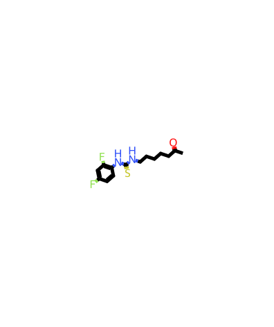 CC(=O)CCCCCNC(=S)Nc1ccc(F)cc1F